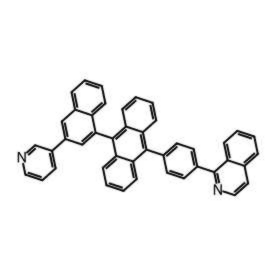 c1cncc(-c2cc(-c3c4ccccc4c(-c4ccc(-c5nccc6ccccc56)cc4)c4ccccc34)c3ccccc3c2)c1